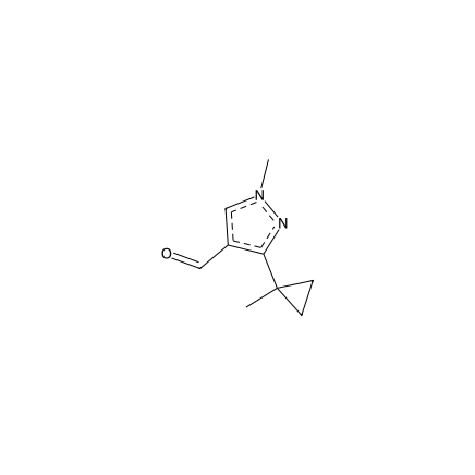 Cn1cc(C=O)c(C2(C)CC2)n1